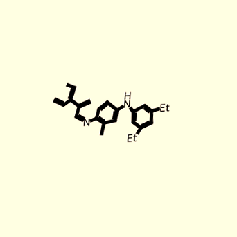 C=C/C(=C\C)C(=C)/C=N\c1ccc(Nc2cc(CC)cc(CC)c2)cc1C